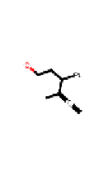 C=C=C(C)C(CC)CC[O]